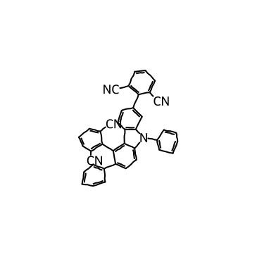 N#Cc1cccc(C#N)c1-c1ccc2c3c(-c4c(C#N)cccc4C#N)c(-c4ccccc4)ccc3n(-c3ccccc3)c2c1